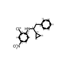 O=[N+]([O-])c1ccc(NC(Cc2ccccc2)C2CC2)c(Cl)c1